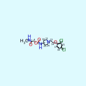 CNC(=O)COC(=O)NC1CCN(CCOc2ccc(Cl)cc2Cl)CC1